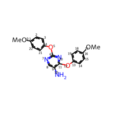 COc1ccc(Oc2ncc(N)c(Oc3ccc(OC)cc3)n2)cc1